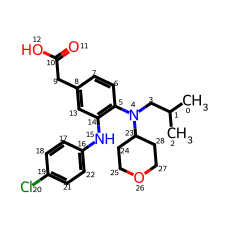 CC(C)CN(c1ccc(CC(=O)O)cc1Nc1ccc(Cl)cc1)C1CCOCC1